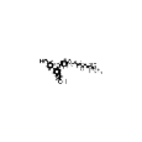 [O-][S+](CCCCOc1ccc(Oc2cc3cc(O)sc3cc2-c2ccc(O)cc2)cc1)CCCC(F)(F)C(F)(F)F